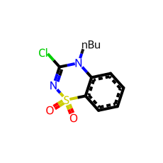 CCCCN1C(Cl)=NS(=O)(=O)c2ccccc21